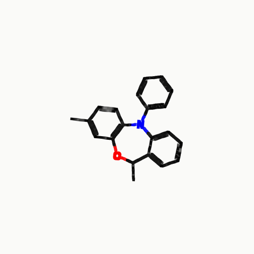 Cc1ccc2c(c1)OC(C)c1ccccc1N2c1ccccc1